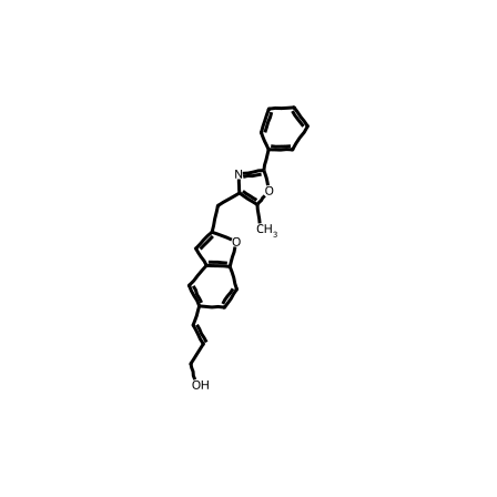 Cc1oc(-c2ccccc2)nc1Cc1cc2cc(/C=C/CO)ccc2o1